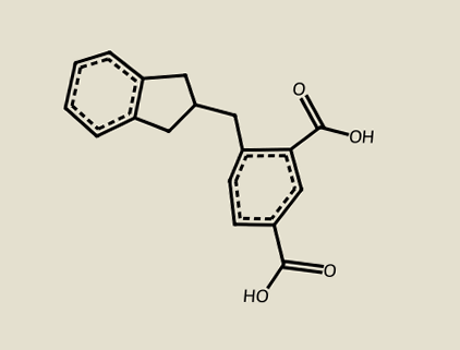 O=C(O)c1ccc(CC2Cc3ccccc3C2)c(C(=O)O)c1